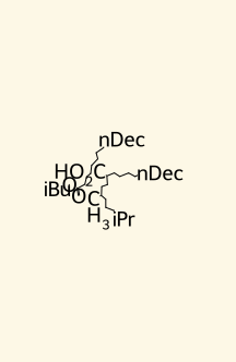 CCCCCCCCCCCCCCC(CCC(C)CCCC(C)C)C(=O)O.CCCCCCCCCCCCCCCCCC(=O)OC(C)CC